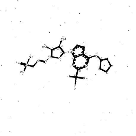 O=P(O)(O)COC[C@H]1O[C@@H](n2ccc3c(NC4CCCC4)nc(C(F)(F)F)nc32)[C@H](O)[C@@H]1O